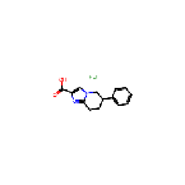 Cl.O=C(O)c1cn2c(n1)CCC(c1ccccc1)C2